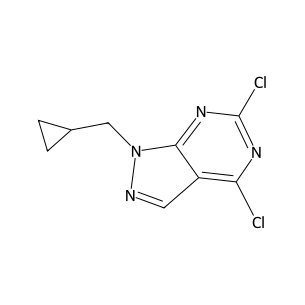 Clc1nc(Cl)c2cnn(CC3CC3)c2n1